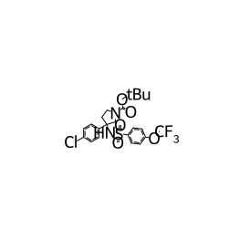 CC(C)(C)OC(=O)N1CCC(NS(=O)(=O)c2ccc(OC(F)(F)F)cc2)(c2ccc(Cl)cc2)C1